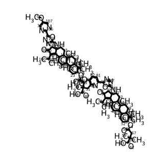 COc1cnc(-c2nnc(N[C@@]34CC[C@]5(C)[C@H](CC[C@@H]6[C@@]7(C)CC[C@H](OC(=O)CC(C)(Cc8nc(-c9nnc(N[C@@]%10%11CC[C@]%12(C)[C@H](CC[C@@H]%13[C@@]%14(C)CC[C@H](OC(=O)CC(C)(C)C(=O)O)C(C)(C)[C@@H]%14CC[C@]%13%12C)C%10=C(C(C)C)C(=O)C%11)o9)ccc8OC)C(=O)O)C(C)(C)[C@@H]7CC[C@]65C)C3=C(C(C)C)C(=O)C4)o2)nc1